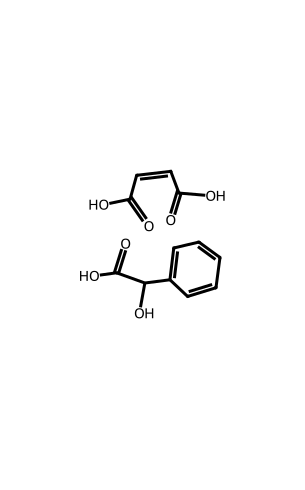 O=C(O)/C=C\C(=O)O.O=C(O)C(O)c1ccccc1